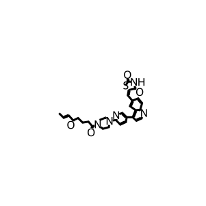 CC=CC(=O)CCCC(=O)N1CCN(c2ccc(-c3ccnc4ccc(C=C5SC(=O)NC5=O)cc34)cn2)CC1